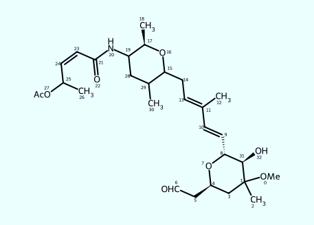 COC1(C)C[C@@H](CC=O)O[C@H](/C=C/C(C)=C/CC2O[C@H](C)C(NC(=O)/C=C\C(C)OC(C)=O)CC2C)[C@H]1O